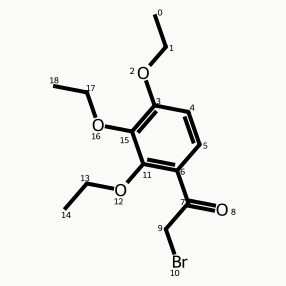 CCOc1ccc(C(=O)CBr)c(OCC)c1OCC